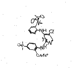 COc1cc(P(C)(C)=O)ccc1Nc1ncc(Cl)c(Nc2ccccc2N(C)S(C)(=O)=O)n1